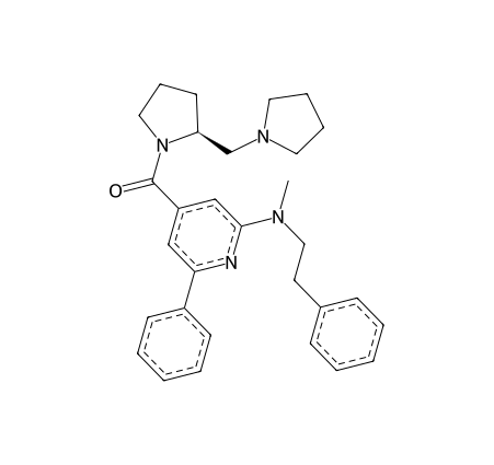 CN(CCc1ccccc1)c1cc(C(=O)N2CCC[C@H]2CN2CCCC2)cc(-c2ccccc2)n1